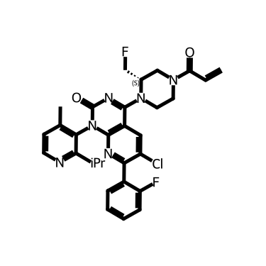 C=CC(=O)N1CCN(c2nc(=O)n(-c3c(C)ccnc3C(C)C)c3nc(-c4ccccc4F)c(Cl)cc23)[C@H](CF)C1